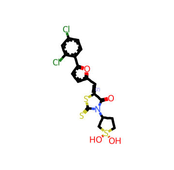 O=C1/C(=C/c2ccc(-c3ccc(Cl)cc3Cl)o2)SC(=S)N1C1CCS(O)(O)C1